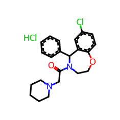 Cl.O=C(CN1CCCCC1)N1CCOc2ccc(Cl)cc2C1c1ccccc1